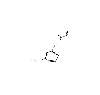 C=CC(=O)OCc1cccc(OC)c1